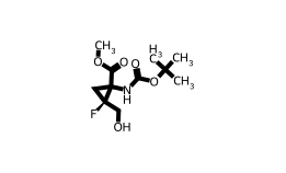 COC(=O)C1(NC(=O)OC(C)(C)C)C[C@@]1(F)CO